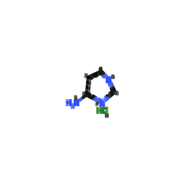 Cl.Nc1ccncn1